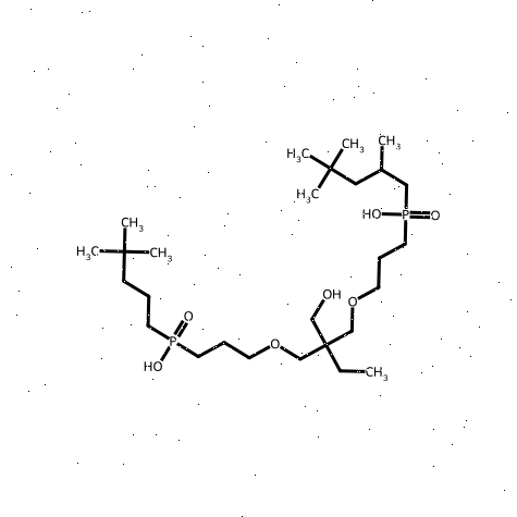 CCC(CO)(COCCCP(=O)(O)CCCC(C)(C)C)COCCCP(=O)(O)CC(C)CC(C)(C)C